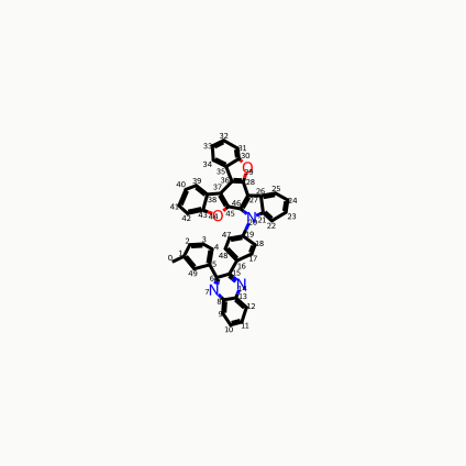 Cc1cccc(-c2nc3ccccc3nc2-c2ccc(-n3c4ccccc4c4c5oc6ccccc6c5c5c6ccccc6oc5c43)cc2)c1